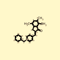 Bc1c(C)cc(C)c2c1C(=O)C(=Cc1cc[n+](Cc3ccccc3)cc1)C2